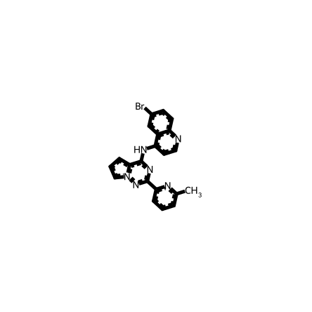 Cc1cccc(-c2nc(Nc3ccnc4ccc(Br)cc34)c3cccn3n2)n1